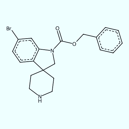 O=C(OCc1ccccc1)N1CC2(CCNCC2)c2ccc(Br)cc21